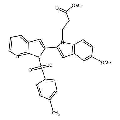 COC(=O)CCn1c(-c2cc3cccnc3n2S(=O)(=O)c2ccc(C)cc2)cc2cc(OC)ccc21